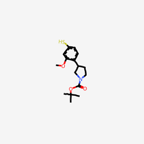 COc1cc(S)ccc1C1CCN(C(=O)OC(C)(C)C)C1